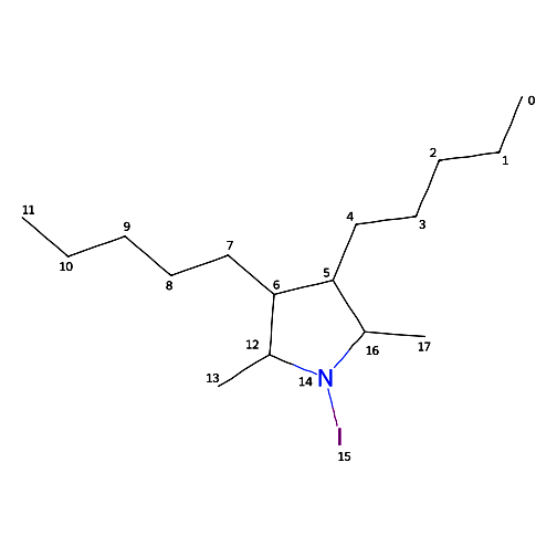 CCCCCC1C(CCCCC)C(C)N(I)C1C